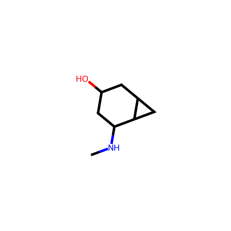 CNC1CC(O)CC2CC21